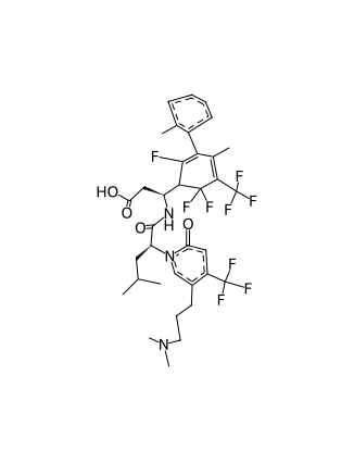 CC1=C(C(F)(F)F)C(F)(F)C([C@H](CC(=O)O)NC(=O)[C@H](CC(C)C)n2cc(CCCN(C)C)c(C(F)(F)F)cc2=O)C(F)=C1c1ccccc1C